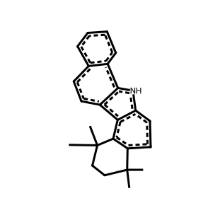 CC1(C)CCC(C)(C)c2c1ccc1[nH]c3c4ccccc4ccc3c21